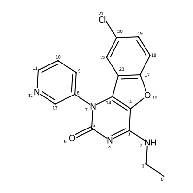 CCNc1nc(=O)n(-c2cccnc2)c2c1oc1ccc(Cl)cc12